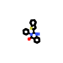 O=C1c2ccccc2NC(c2cc3ccccc3s2)N1c1ccccc1